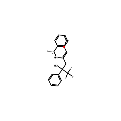 C[C@@H](NC(=CC(=O)O)CC(O)(c1ccccc1)C(F)(F)F)c1ccccc1